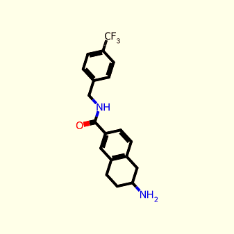 NC1CCc2cc(C(=O)NCc3ccc(C(F)(F)F)cc3)ccc2C1